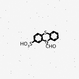 O=CN1c2ccccc2Sc2ccc(S(=O)(=O)O)cc21